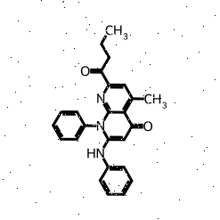 CCCC(=O)c1cc(C)c2c(=O)cc(Nc3ccccc3)n(-c3ccccc3)c2n1